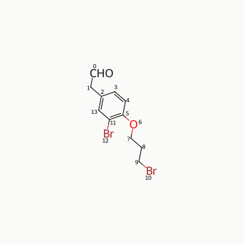 O=CCc1ccc(OCCCBr)c(Br)c1